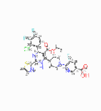 CCOC(=O)C1=C(C2CCN(c3ncc(C(=O)O)cc3F)CC2)NC(c2nccs2)=NC1c1ccc(F)c(F)c1Cl